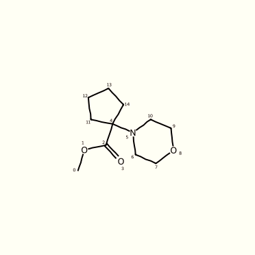 COC(=O)C1(N2CCOCC2)CCCC1